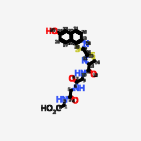 O=C(O)CNC(=O)CNC(=O)CNC(=O)C1CSC(c2nc3ccc4cc(O)ccc4c3s2)=N1